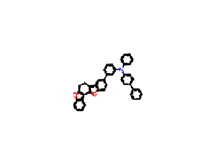 c1ccc(-c2ccc(N(c3ccccc3)c3cccc(-c4ccc5oc6c(c5c4)CCc4oc5ccccc5c4-6)c3)cc2)cc1